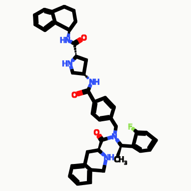 C[C@H](c1ccccc1F)N(Cc1ccc(C(=O)N[C@@H]2CN[C@H](C(=O)N[C@@H]3CCCc4ccccc43)C2)cc1)C(=O)[C@@H]1Cc2ccccc2CN1